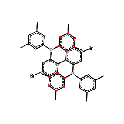 Cc1cc(C)cc(P(c2cc(C)cc(C)c2)c2cc(Br)c3ccccc3c2-c2c(P(c3cc(C)cc(C)c3)c3cc(C)cc(C)c3)cc(Br)c3ccccc23)c1